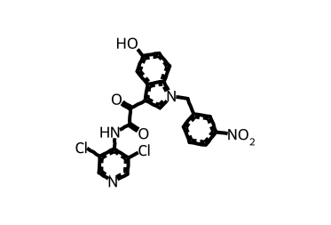 O=C(Nc1c(Cl)cncc1Cl)C(=O)c1cn(Cc2cccc([N+](=O)[O-])c2)c2ccc(O)cc12